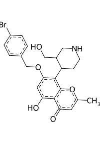 Cc1cc(=O)c2c(O)cc(OCc3ccc(Br)cc3)c(C3CCNCC3CO)c2o1